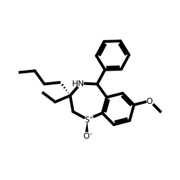 CCCC[C@@]1(CC)C[S@+]([O-])c2ccc(OC)cc2C(c2ccccc2)N1